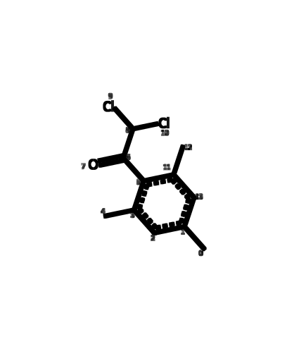 Cc1cc(C)c(C(=O)C(Cl)Cl)c(C)c1